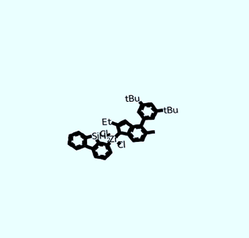 CCC1=Cc2c(ccc(C)c2-c2cc(C(C)(C)C)cc(C(C)(C)C)c2)[CH]1[Zr]([Cl])([Cl])[c]1cccc2c1[SiH2]c1ccccc1-2